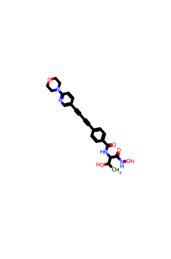 CC(O)C(NC(=O)c1ccc(C#CC#Cc2ccc(N3CCOCC3)nc2)cc1)C(=O)NO